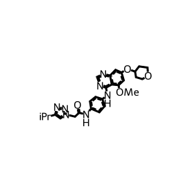 COc1cc(OC2CCOCC2)cc2ncnc(Nc3ccc(NC(=O)Cn4cc(C(C)C)nn4)cc3)c12